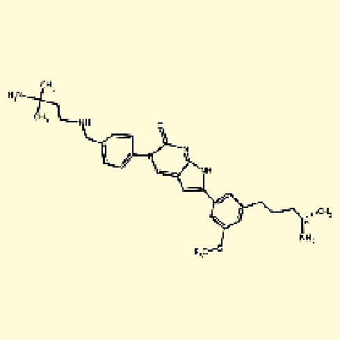 C[C@H](N)CCCc1cc(SC(F)(F)F)cc(-c2cc3cn(-c4ccc(CNCCC(C)(C)N)cc4)c(=O)nc3[nH]2)c1